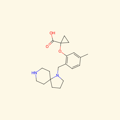 Cc1ccc(CN2CCCC23CCNCC3)c(OC2(C(=O)O)CC2)c1